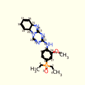 CCP(=O)(CC)c1ccc(NC2=NC3=NC4C=CC=CC4N3C=N2)c(OC)c1